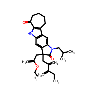 C=C(CC1(CC(=C)C(=C)CC)C(=O)N(CC(C)C)c2cc3c4c([nH]c3cc21)C(=O)CCCC4)OCC